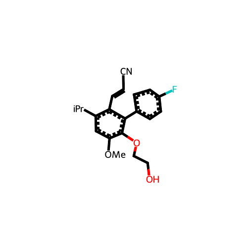 COc1cc(C(C)C)c(C=CC#N)c(-c2ccc(F)cc2)c1OCCO